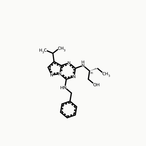 CC[C@H](CO)Nc1nc(NCc2ccccc2)n2ncc(C(C)C)c2n1